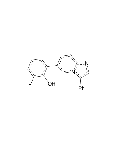 [CH2]Cc1cnc2ccc(-c3cccc(F)c3O)cn12